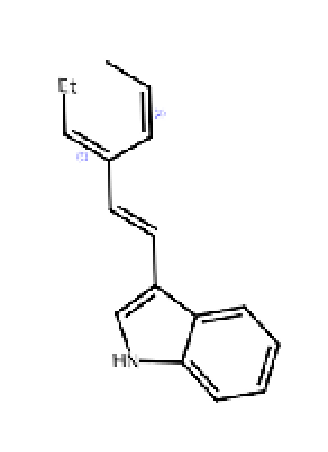 C/C=C\C(C=Cc1c[nH]c2ccccc12)=C/CC